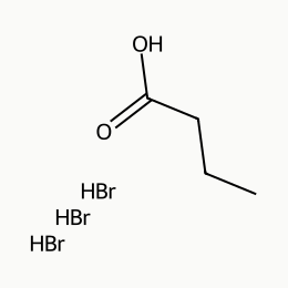 Br.Br.Br.CCCC(=O)O